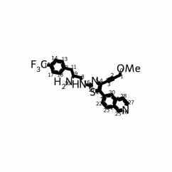 COCC#Cc1nc(NCC(N)Cc2ccc(C(F)(F)F)cc2)sc1-c1ccc2cnccc2c1